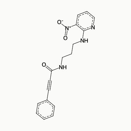 O=C(C#Cc1ccccc1)NCCCNc1ncccc1[N+](=O)[O-]